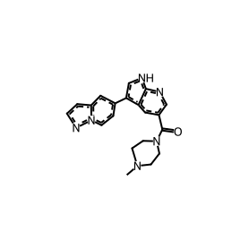 CN1CCN(C(=O)c2cnc3[nH]cc(-c4ccn5nccc5c4)c3c2)CC1